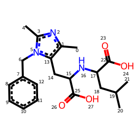 Cc1nc(C)n(Cc2ccccc2)c1CC(NC(CC(C)C)C(=O)O)C(=O)O